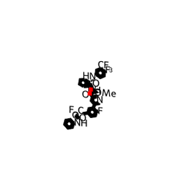 COc1ncc(-c2cc([C@H](OC(=O)Nc3ccccc3)C(F)(F)F)ccc2F)cc1C(=O)N[C@@H]1C2CCC(/C2=C/C2CC2)[C@@H]1C(=O)Nc1ccc(F)c(C(F)(F)F)c1